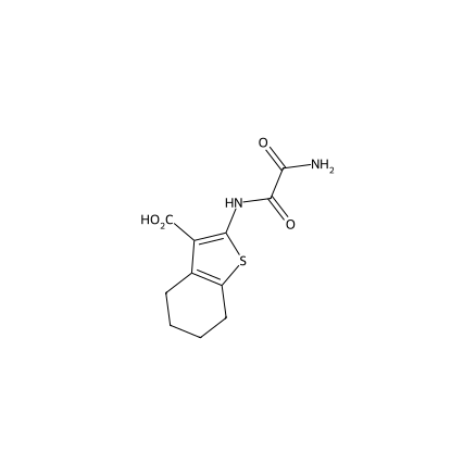 NC(=O)C(=O)Nc1sc2c(c1C(=O)O)CCCC2